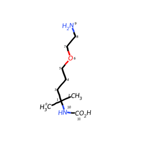 CC(C)(CCCOCCN)NC(=O)O